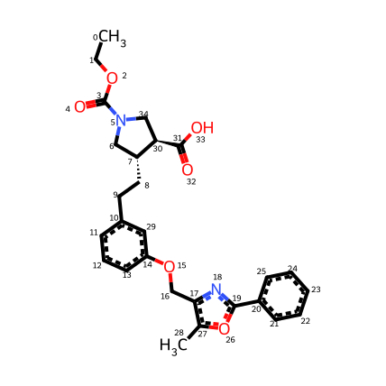 CCOC(=O)N1C[C@@H](CCc2cccc(OCc3nc(-c4ccccc4)oc3C)c2)[C@H](C(=O)O)C1